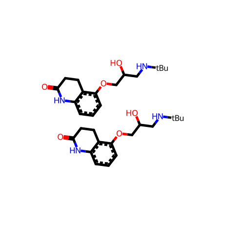 CC(C)(C)NCC(O)COc1cccc2c1CCC(=O)N2.CC(C)(C)NCC(O)COc1cccc2c1CCC(=O)N2